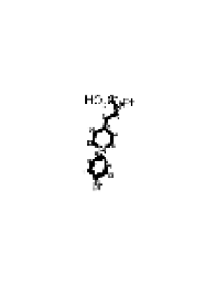 CCN(CCC1CCN(c2ccc(Br)cn2)CC1)C(=O)O